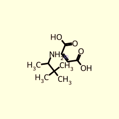 CC(N)C(C)(C)C.O=C(O)/C=C\C(=O)O